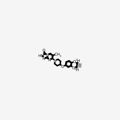 [2H]C1([2H])Oc2ccc(OC3CCN(c4nc5n[nH]c(=O)n5cc4C)CC3)cc2OC1([2H])[2H]